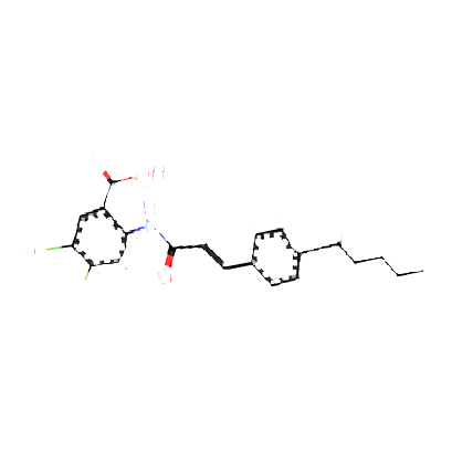 CCCCCc1ccc(C=CC(=O)Nc2cc(F)c(F)cc2C(=O)O)cc1